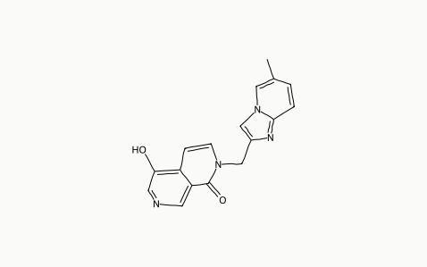 Cc1ccc2nc(Cn3ccc4c(O)cncc4c3=O)cn2c1